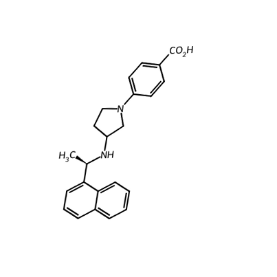 C[C@@H](NC1CCN(c2ccc(C(=O)O)cc2)C1)c1cccc2ccccc12